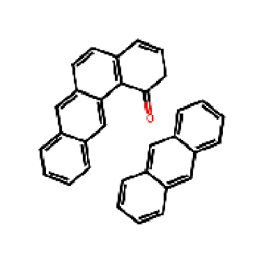 O=C1CC=Cc2ccc3cc4ccccc4cc3c21.c1ccc2cc3ccccc3cc2c1